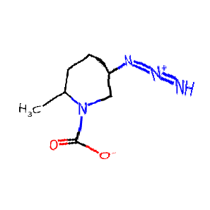 CC1CCC(N=[N+]=N)CN1C(=O)[O-]